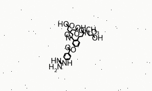 CN(CC(=O)O)C(=O)CCc1ccc(OC(=O)c2ccc(NC(=N)N)cc2)cc1C1=NOC(CC(=O)O)(CC(=O)O)C1